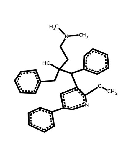 COc1ncc(-c2ccccc2)cc1C(c1ccccc1)C(O)(CCN(C)C)Cc1ccccc1